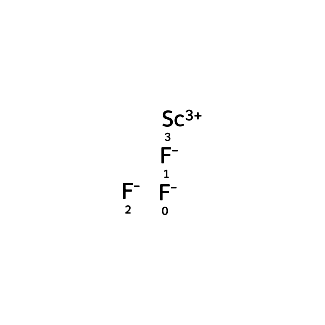 [F-].[F-].[F-].[Sc+3]